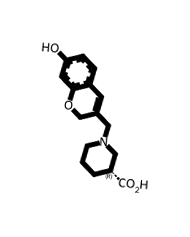 O=C(O)[C@@H]1CCCN(CC2=Cc3ccc(O)cc3OC2)C1